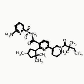 CCC(C)(C)C(=O)N1CCC=C(c2ccc(C(=O)NS(=O)(=O)c3cccc(N)n3)c(C3C[C@@H](C)CC3(C)C)n2)C1